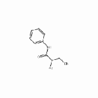 CC(=O)C(CC#N)C(=O)Nc1ccccc1